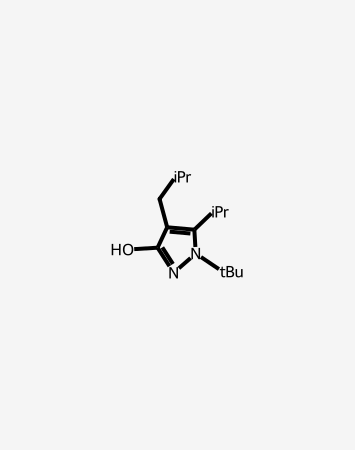 CC(C)Cc1c(O)nn(C(C)(C)C)c1C(C)C